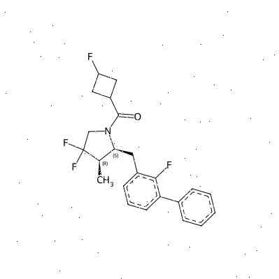 C[C@@H]1[C@H](Cc2cccc(-c3ccccc3)c2F)N(C(=O)C2CC(F)C2)CC1(F)F